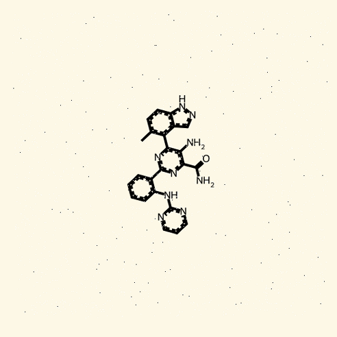 Cc1ccc2[nH]ncc2c1-c1nc(-c2ccccc2Nc2ncccn2)nc(C(N)=O)c1N